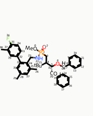 COP(=O)(CC([C@H](O[SiH](c1ccccc1)c1ccccc1)C(=O)O)C(C)(C)C)NCc1c(C)cc(C)cc1-c1ccc(F)c(C)c1